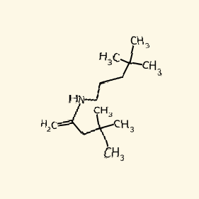 C=C(CC(C)(C)C)NCCCC(C)(C)C